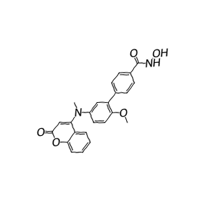 COc1ccc(N(C)c2cc(=O)oc3ccccc23)cc1-c1ccc(C(=O)NO)cc1